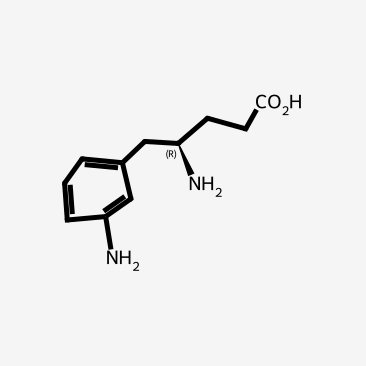 Nc1cccc(C[C@H](N)CCC(=O)O)c1